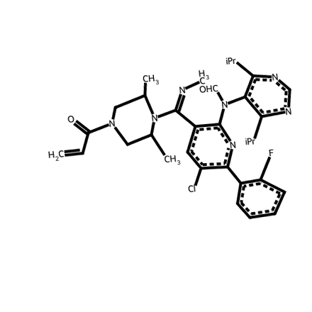 C=CC(=O)N1CC(C)N(/C(=N/C)c2cc(Cl)c(-c3ccccc3F)nc2N(C=O)c2c(C(C)C)ncnc2C(C)C)C(C)C1